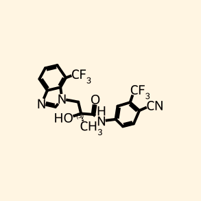 C[C@](O)(Cn1cnc2cccc(C(F)(F)F)c21)C(=O)Nc1ccc(C#N)c(C(F)(F)F)c1